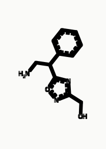 NCC(c1ccccc1)c1nc(CO)no1